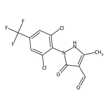 Cc1[nH]n(-c2c(Cl)cc(C(F)(F)F)cc2Cl)c(=O)c1C=O